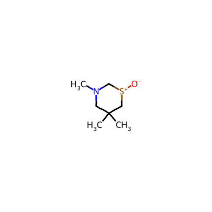 CN1C[S+]([O-])CC(C)(C)C1